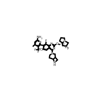 Cc1cc(N)nc(-c2c(Cl)cc3c(N4CCC5NCC5C4)nc(OC[C@]45CCCN4C[C@H](F)C5)nc3c2F)c1C(F)(F)F